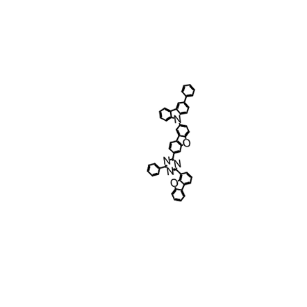 c1ccc(-c2ccc3c(c2)c2ccccc2n3-c2ccc3oc4cc(-c5nc(-c6ccccc6)nc(-c6cccc7c6oc6ccccc67)n5)ccc4c3c2)cc1